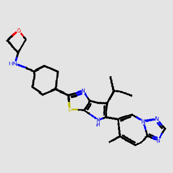 Cc1cc2ncnn2cc1-c1[nH]c2sc(C3CCC(NC4COC4)CC3)nc2c1C(C)C